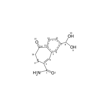 NC(=O)C1=Cc2cc(C(O)O)ccc2C(=O)CS1